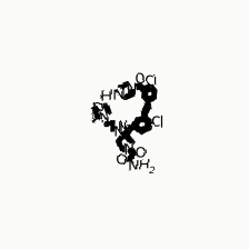 C[C@H]1COCCN1CCCn1nc(-c2ccc(Cl)c(C#Cc3ccc(Cl)c(C(=O)N4CCNCC4)c3)c2)c2c1CCN(C(=O)C(N)=O)C2